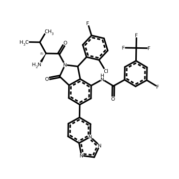 CC(C)[C@H](N)C(=O)N1C(=O)c2cc(-c3ccc4ncnn4c3)cc(NC(=O)c3cc(F)cc(C(F)(F)F)c3)c2C1c1cc(F)ccc1Cl